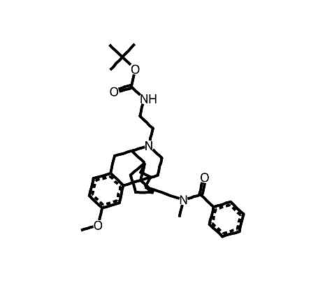 COc1ccc2c(c1)C13CCN(CCNC(=O)OC(C)(C)C)C(C2)C12CCC(N(C)C(=O)c1ccccc1)C3CC2